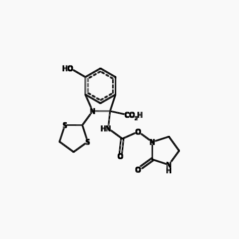 O=C(NC1(C(=O)O)c2ccc(O)c(c2)N1C1SCCS1)ON1CCNC1=O